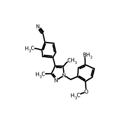 Bc1ccc(OC)c(Cn2nc(C)c(-c3ccc(C#N)c(C)c3)c2C)c1